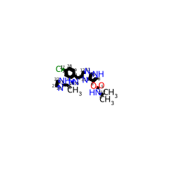 CC(C)NC(=O)Oc1c[nH]c2ncc(-c3nn(C(C)c4ncc[nH]4)c4cc(Cl)ccc34)nc12